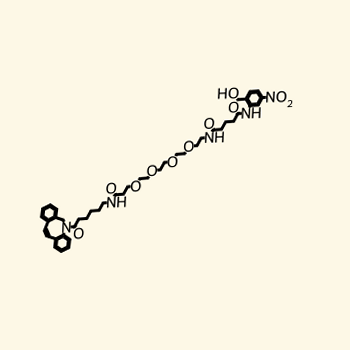 O=C(CCCC(=O)Nc1cc([N+](=O)[O-])ccc1CO)NCCOCCOCCOCCOCCC(=O)NCCCCCC(=O)N1Cc2ccccc2C#Cc2ccccc21